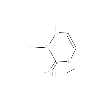 CCN1NC=CNC1=N.CS(=O)(=O)O